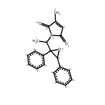 CC1=CC(=O)N(C(C)C2(c3ccccc3)OC2c2ccccc2)C1=O